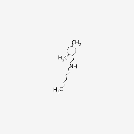 C=C1CCC(=C)C(CCNCCCCCCC)CC1